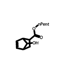 CCCCCOC(=O)C1CC2C=CC1C2O